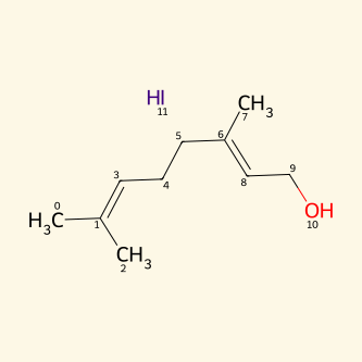 CC(C)=CCCC(C)=CCO.I